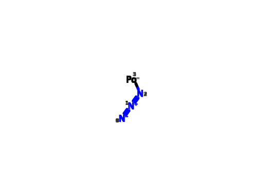 [N-]=[N+]=[N][Po-]